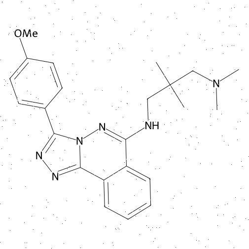 COc1ccc(-c2nnc3c4ccccc4c(NCC(C)(C)CN(C)C)nn23)cc1